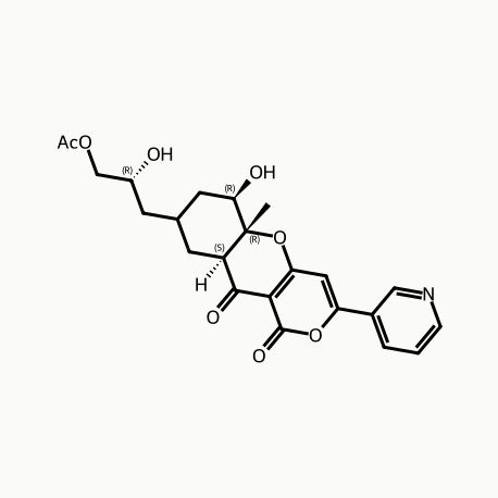 CC(=O)OC[C@H](O)CC1C[C@@H](O)[C@]2(C)Oc3cc(-c4cccnc4)oc(=O)c3C(=O)[C@H]2C1